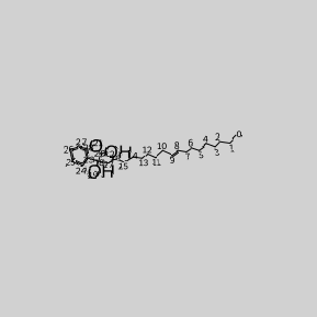 CCCCCCCCC=CCCCCCCCCC(O)(C(=O)O)c1ccccc1